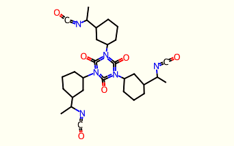 CC(N=C=O)C1CCCC(n2c(=O)n(C3CCCC(C(C)N=C=O)C3)c(=O)n(C3CCCC(C(C)N=C=O)C3)c2=O)C1